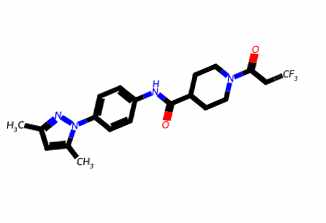 Cc1cc(C)n(-c2ccc(NC(=O)C3CCN(C(=O)CC(F)(F)F)CC3)cc2)n1